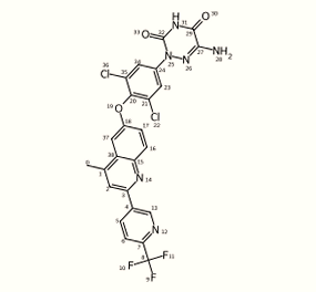 Cc1cc(-c2ccc(C(F)(F)F)nc2)nc2ccc(Oc3c(Cl)cc(-n4nc(N)c(=O)[nH]c4=O)cc3Cl)cc12